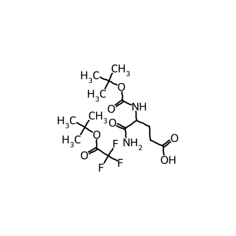 CC(C)(C)OC(=O)C(F)(F)F.CC(C)(C)OC(=O)NC(CCC(=O)O)C(N)=O